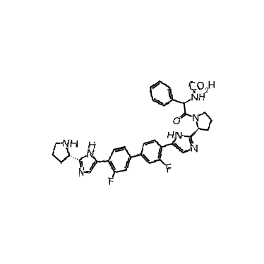 O=C(O)N[C@@H](C(=O)N1CCC[C@H]1c1ncc(-c2ccc(-c3ccc(-c4cnc([C@@H]5CCCN5)[nH]4)c(F)c3)cc2F)[nH]1)c1ccccc1